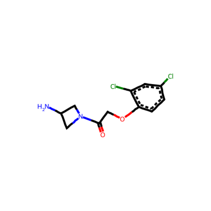 NC1CN(C(=O)COc2ccc(Cl)cc2Cl)C1